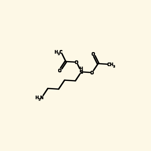 CC(=O)O[SiH](CCCCN)OC(C)=O